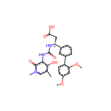 COc1ccc(-c2cccc([C@H](CC(=O)O)NC(=O)Nc3c(O)c(C)cn(C)c3=O)c2)c(OC)c1